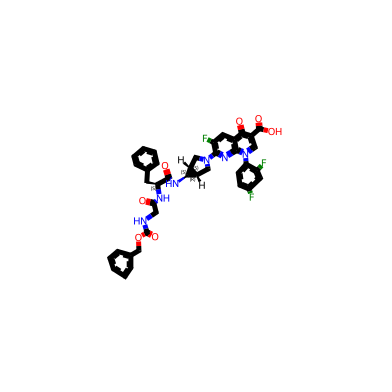 O=C(CNC(=O)OCc1ccccc1)N[C@@H](Cc1ccccc1)C(=O)N[C@H]1[C@@H]2CN(c3nc4c(cc3F)c(=O)c(C(=O)O)cn4-c3ccc(F)cc3F)C[C@@H]21